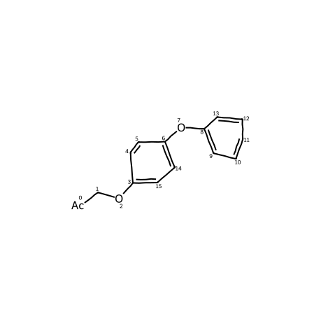 CC(=O)COc1ccc(Oc2ccccc2)cc1